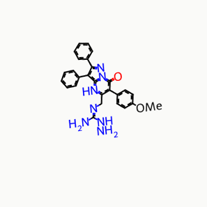 COc1ccc(-c2c(CN=C(N)NN)[nH]c3c(-c4ccccc4)c(-c4ccccc4)nn3c2=O)cc1